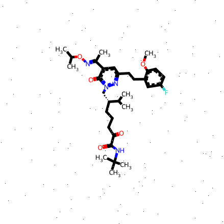 COc1ccc(F)cc1CCc1cc(/C(C)=N/OC(C)C)c(=O)n(C[C@@H](CCCC(=O)C(=O)NC(C)(C)C)C(C)C)n1